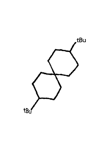 CC(C)(C)C1CCC2(CC1)CCC(C(C)(C)C)CC2